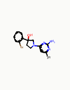 CC(C)c1cc(N2CCC(O)(c3ccccc3Br)C2)nc(N)n1